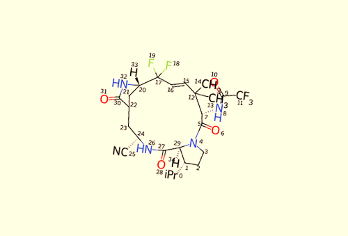 CC(C)[C@H]1CCN2C(=O)[C@@H](NC(=O)C(F)(F)F)C(C)(C)/C=C/C(F)(F)[C@@H]3CC(C[C@@H](C#N)NC(=O)[C@H]12)C(=O)N3